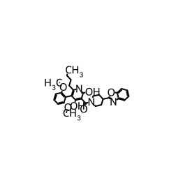 CCCCc1nc(O)c(C(=O)N2CCC(c3nc4ccccc4o3)CC2)c(O)c1-c1c(OC)cccc1OC